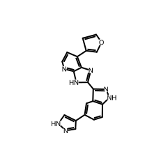 c1cc(-c2ccoc2)c2nc(-c3n[nH]c4ccc(-c5cn[nH]c5)cc34)[nH]c2n1